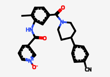 Cc1ccc(C(=O)N2CCC(c3ccc(C#N)cc3)CC2)cc1NC(=O)c1ccc[n+]([O-])c1